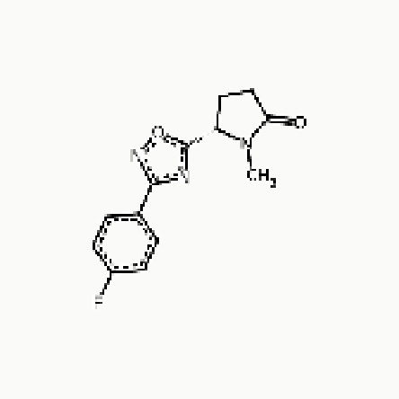 CN1C(=O)CC[C@H]1c1nc(-c2ccc(F)cc2)no1